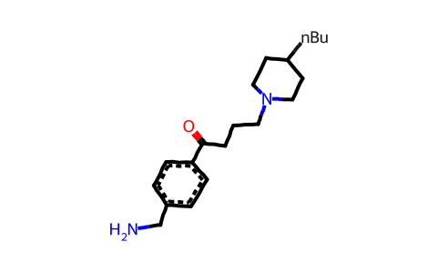 CCCCC1CCN(CCCC(=O)c2ccc(CN)cc2)CC1